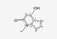 Cn1c(=O)cc(O)c2sccc21